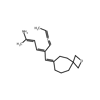 CC=C=CC(=C\C=C(/C)N)/C=C1/CCCC2(CC1)COC2